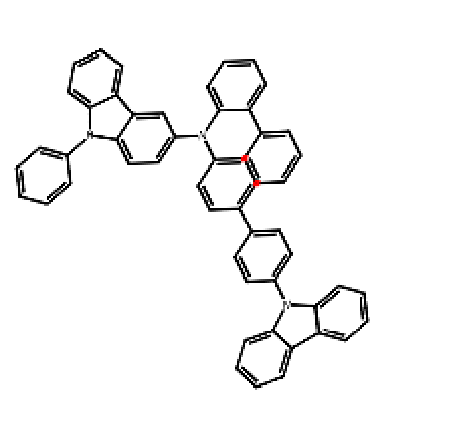 c1ccc(-c2ccccc2N(c2ccc(-c3ccc(-n4c5ccccc5c5ccccc54)cc3)cc2)c2ccc3c(c2)c2ccccc2n3-c2ccccc2)cc1